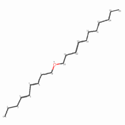 [CH2]CCCCCCCCOCCCCCCCCCCC